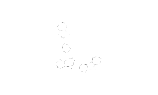 c1ccc2oc(-c3ccc(-c4nc(-c5ccc6oc7ccccc7c6c5)nc5ccccc45)cc3)nc2c1